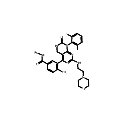 Cc1ccc(C(=O)NC(C)C)cc1-c1nc(NCCN2CCOCC2)nc2c1CNC(=O)N2c1c(F)cccc1F